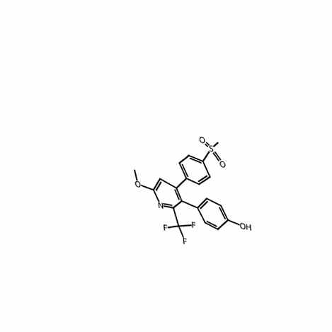 COc1cc(-c2ccc(S(C)(=O)=O)cc2)c(-c2ccc(O)cc2)c(C(F)(F)F)n1